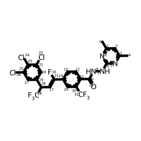 Cc1cc(C)nc(NNC(=O)c2ccc(/C(F)=C/C(c3cc(Cl)c(Cl)c(Cl)c3)C(F)(F)F)cc2C(F)(F)F)n1